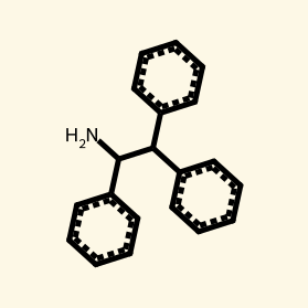 NC(c1ccccc1)C(c1ccccc1)c1ccccc1